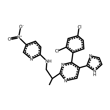 C[C](CNc1ccc([N+](=O)[O-])cn1)c1ncc(-c2ncc[nH]2)c(-c2ccc(Cl)cc2Cl)n1